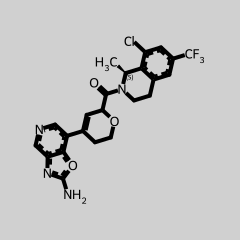 C[C@H]1c2c(Cl)cc(C(F)(F)F)cc2CCN1C(=O)C1C=C(c2cncc3nc(N)oc23)CCO1